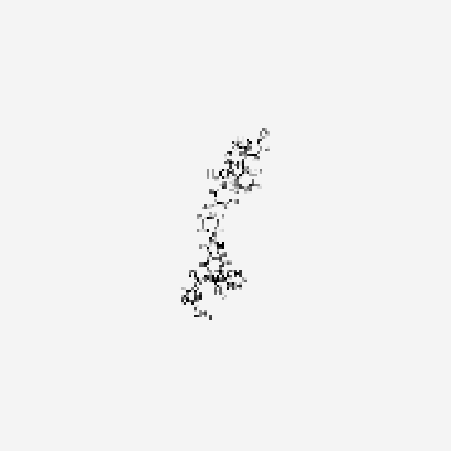 Cc1nc(C(=O)Nc2cc3cn([C@H]4CC[C@H](CN5CCC(c6cccc7c6n(C)c(=O)n7C6CCC(=O)NC6=O)CC5)CC4)nc3cc2C(C)(C)O)co1